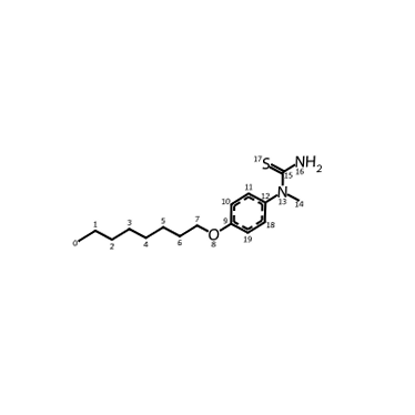 CCCCCCCCOc1ccc(N(C)C(N)=S)cc1